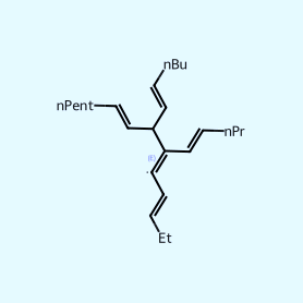 CCC=C/[C]=C(\C=CCCC)C(C=CCCCC)C=CCCCCC